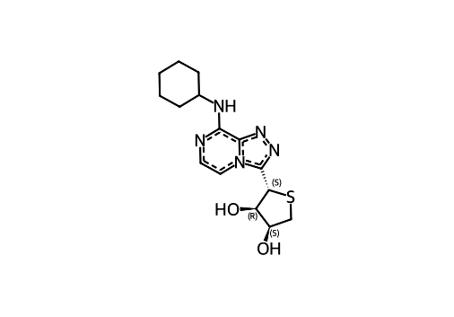 O[C@@H]1[C@H](O)CS[C@H]1c1nnc2c(NC3CCCCC3)nccn12